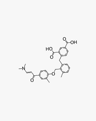 Cc1cc(C(=O)C=CN(C)C)ccc1OCc1c(C)cccc1Cc1ccc(C(=O)O)cc1C(=O)O